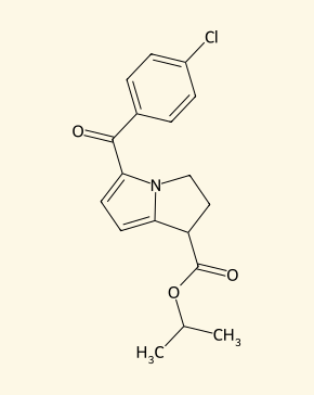 CC(C)OC(=O)C1CCn2c(C(=O)c3ccc(Cl)cc3)ccc21